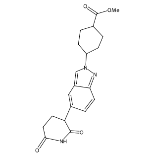 COC(=O)C1CCC(n2cc3cc(C4CCC(=O)NC4=O)ccc3n2)CC1